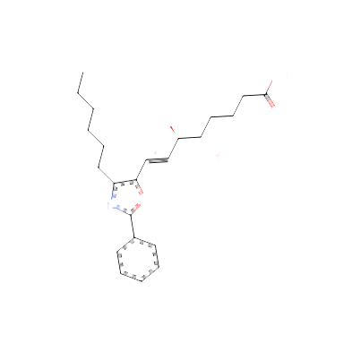 CCCCC[C@@H](O)c1nc(-c2ccccc2)oc1/C=C/[C@@H](O)[C@@H](O)CCCC(=O)O